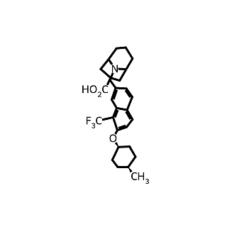 C[C@H]1CC[C@@H](Oc2ccc3ccc(CN4C5CCCC4CC(C(=O)O)C5)cc3c2C(F)(F)F)CC1